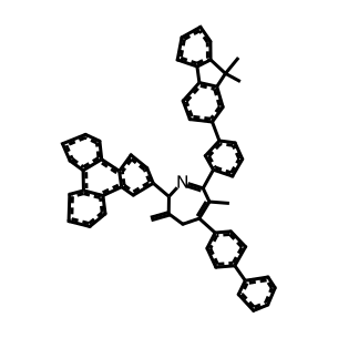 C=C1CC(c2ccc(-c3ccccc3)cc2)=C(C)C(c2cccc(-c3ccc4c(c3)C(C)(C)c3ccccc3-4)c2)=NC1c1ccc2c3ccccc3c3ccccc3c2c1